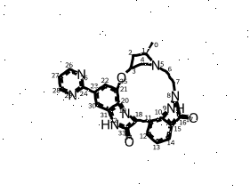 C[C@@H]1CC2CN1CCn1[nH]c3c(cccc3c1=O)-c1nc3c(cc(-c4ncccn4)cc3[nH]c1=O)O2